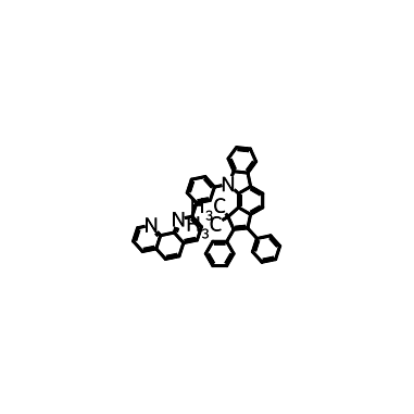 CC1(C)C(c2ccccc2)=C(c2ccccc2)c2ccc3c4ccccc4n(-c4cccc(-c5ccc6ccc7cccnc7c6n5)c4)c3c21